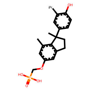 Cc1cc(OCP(=O)(O)O)cc2c1C(C)(c1ccc(O)c(C(C)C)c1)CC2